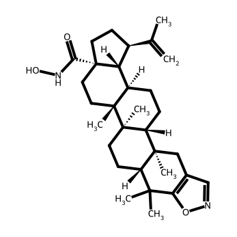 C=C(C)[C@@H]1CC[C@]2(C(=O)NO)CC[C@]3(C)[C@H](CC[C@@H]4[C@@]5(C)Cc6cnoc6C(C)(C)[C@@H]5CC[C@]43C)[C@@H]12